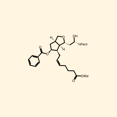 CCCCC[C@@H](O)C[C@H]1OC[C@@H]2C[C@H](OC(=O)c3ccccc3)[C@H](C/C=C\CCCC(=O)OC)[C@@H]21